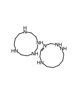 C1=NCNNCCCCCNC1.C1CNCCNCNCCNC1